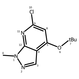 Cn1ncc2c(OC(C)(C)C)cc(Cl)nc21